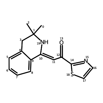 CC1(C)Cc2ccccc2C(=CC(=O)c2nccs2)N1